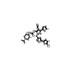 CC(C)N1CCC(NC(=O)Oc2c(C#N)c(-c3cccs3)nn2Cc2cc(-c3ccc(Cl)s3)on2)CC1